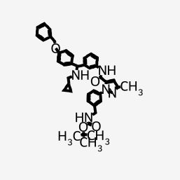 Cc1cc(C(=O)Nc2cccc(C(NCC3CC3)c3ccc(OCc4ccccc4)cc3)c2)n(-c2cccc(CNC(=O)OC(C)(C)C)c2)n1